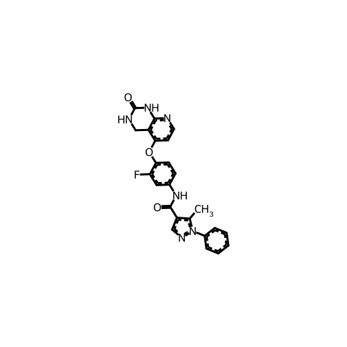 Cc1c(C(=O)Nc2ccc(Oc3ccnc4c3CNC(=O)N4)c(F)c2)cnn1-c1ccccc1